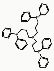 c1ccc(P(CCCP(CCCP(c2ccccc2)c2ccccc2)CCCP(c2ccccc2)c2ccccc2)c2ccccc2)cc1